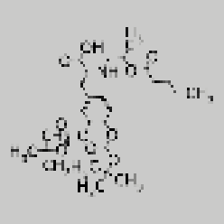 CCCCC(=O)OC(C)CN[C@@H](Cc1ccc(OC(=O)OC(C)(C)C)c(OC(=O)OC(C)(C)C)c1)C(=O)O